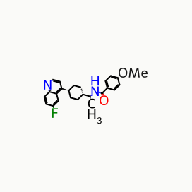 COc1ccc(C(=O)N[C@H](C)[C@H]2CC[C@H](c3ccnc4ccc(F)cc43)CC2)cc1